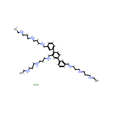 CC(C)CNCCCNCCCNCc1cccc(-c2ccc(-c3cccc(CNCCCNCCCNCC(C)C)c3)c(CNCCCNCCCNCC(C)C)c2)c1.Cl